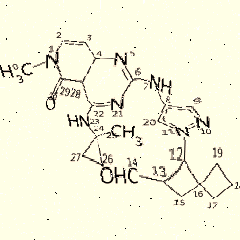 CN1C=CC2N=C(Nc3cnn(C4C(C=O)CC45CCC5)c3)N=C(NC3(C)CC3)C2C1=O